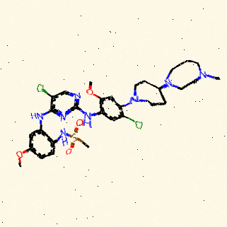 COc1ccc(NS(C)(=O)=O)c(Nc2nc(Nc3cc(Cl)c(N4CCC(N5CCCN(C)CC5)CC4)cc3OC)ncc2Cl)c1